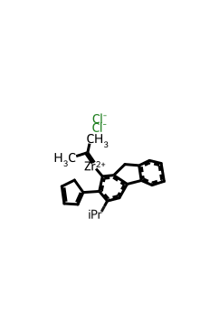 C[C](C)=[Zr+2][c]1c2c(cc(C(C)C)c1C1=CC=CC1)-c1ccccc1C2.[Cl-].[Cl-]